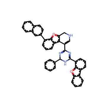 C1=C(C2=NC(c3ccccc3)NC(c3cccc4c3oc3ccccc34)=N2)c2c(oc3c(-c4ccc5ccccc5c4)cccc23)CN1